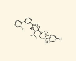 CC(C)[C@@H](NC(=O)c1cccc(-c2ccccc2F)c1)C(=O)N1CC[C@](O)(c2ccc(Cl)cc2)C(C)(C)C1